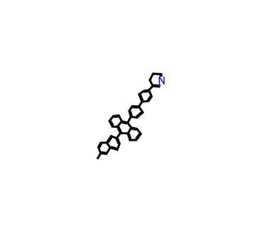 Cc1ccc2cc(-c3c4ccccc4c(-c4ccc(-c5ccc(C6=CN=CCC6)cc5)cc4)c4ccccc34)ccc2c1